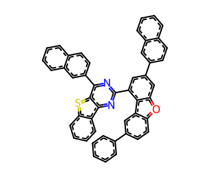 c1ccc(-c2ccc3oc4cc(-c5ccc6ccccc6c5)cc(-c5nc(-c6ccc7ccccc7c6)c6sc7ccccc7c6n5)c4c3c2)cc1